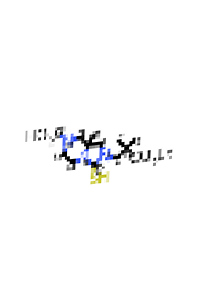 CCOC(=O)C(C)(C)CN1CC2(C)CN(C(=O)O)CCN2C1S